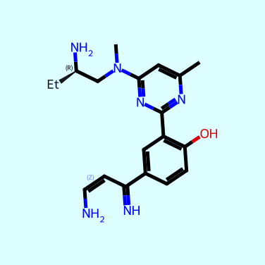 CC[C@@H](N)CN(C)c1cc(C)nc(-c2cc(C(=N)/C=C\N)ccc2O)n1